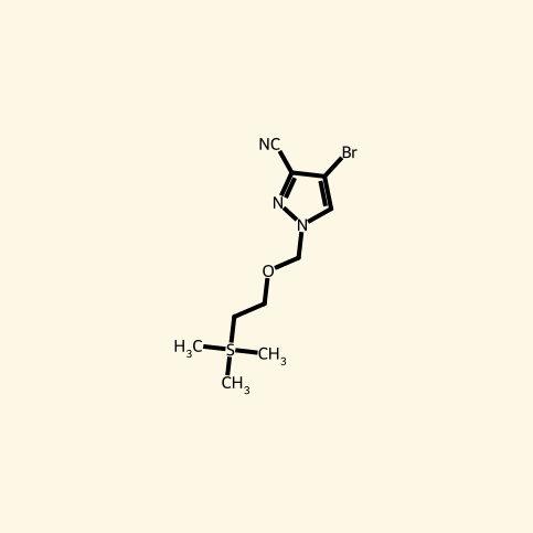 CS(C)(C)CCOCn1cc(Br)c(C#N)n1